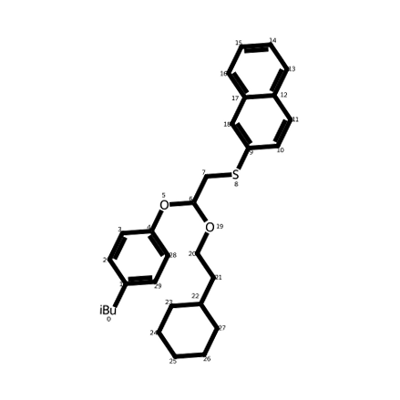 CCC(C)c1ccc(OC(CSc2ccc3ccccc3c2)OCCC2CCCCC2)cc1